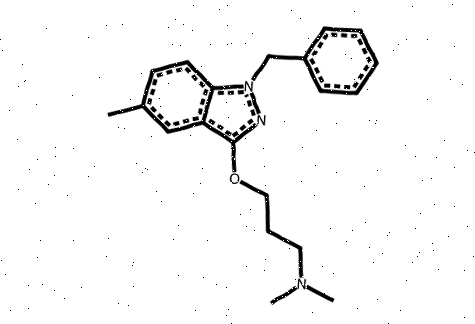 Cc1ccc2c(c1)c(OCCCN(C)C)nn2Cc1ccccc1